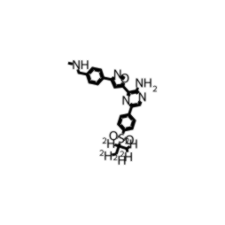 [2H]C([2H])C([2H])(C([2H])[2H])S(=O)(=O)c1ccc(-c2cnc(N)c(-c3cc(-c4ccc(CNC)cc4)no3)n2)cc1